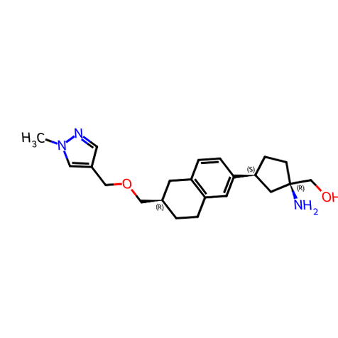 Cn1cc(COC[C@@H]2CCc3cc([C@H]4CC[C@](N)(CO)C4)ccc3C2)cn1